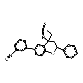 [C-]#[N+]c1cccc(-c2ccc3c(c2)C(CI)(N=C=S)CC(c2ccccc2)O3)c1